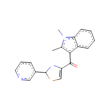 Cc1c(C(=O)C2=CSC(c3cccnc3)N2)c2ccccc2n1C